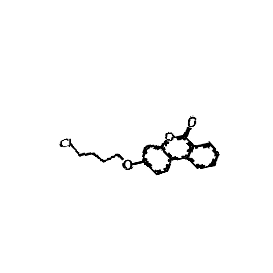 O=c1oc2cc(OCCCCCl)ccc2c2ccccc12